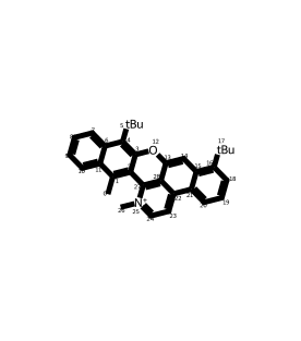 Cc1c2c(c(C(C)(C)C)c3ccccc13)Oc1cc3c(C(C)(C)C)cccc3c3cc[n+](C)c-2c13